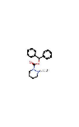 O=C(O)N1CCCCN1C(=O)OC(c1ccccc1)c1ccccc1